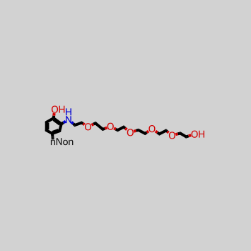 CCCCCCCCCc1ccc(O)c(NCCOCCOCCOCCOCCOCCO)c1